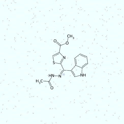 COC(=O)c1csc(/C(=N\NC(C)=O)c2c[nH]c3ccccc23)n1